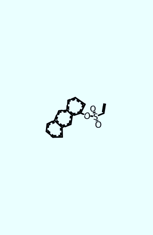 C=CS(=O)(=O)Oc1cccc2cc3ccccc3cc12